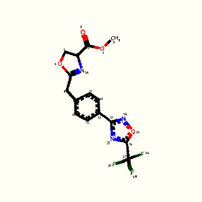 COC(=O)C1COC(Cc2ccc(-c3noc(C(F)(F)F)n3)cc2)=N1